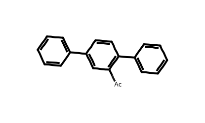 CC(=O)c1cc(-c2ccccc2)ccc1-c1ccccc1